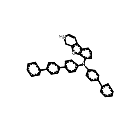 C1=Cc2c(oc3c(N(c4ccc(-c5ccccc5)cc4)c4ccc(-c5ccc(-c6ccccc6)cc5)cc4)cccc23)CN1